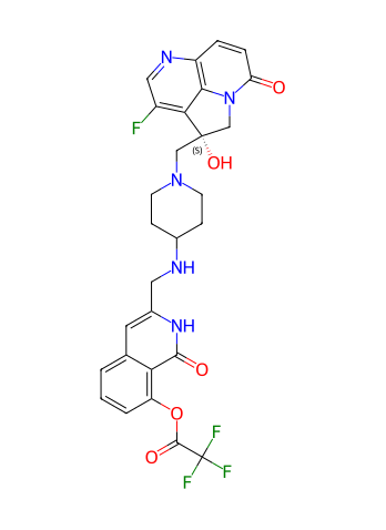 O=C(Oc1cccc2cc(CNC3CCN(C[C@]4(O)Cn5c(=O)ccc6ncc(F)c4c65)CC3)[nH]c(=O)c12)C(F)(F)F